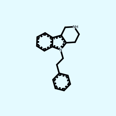 c1ccc(CCn2c3c(c4ccccc42)CNCC3)cc1